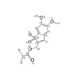 COc1cc2c(cc1OC)S(=O)(=O)C(COC(=O)C(C)C)=C2